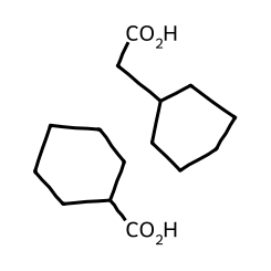 O=C(O)C1CCCCC1.O=C(O)CC1CCCCC1